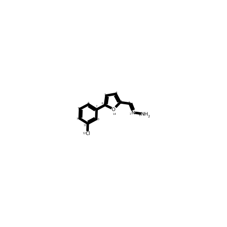 NN=Cc1ccc(-c2cccc(Cl)c2)o1